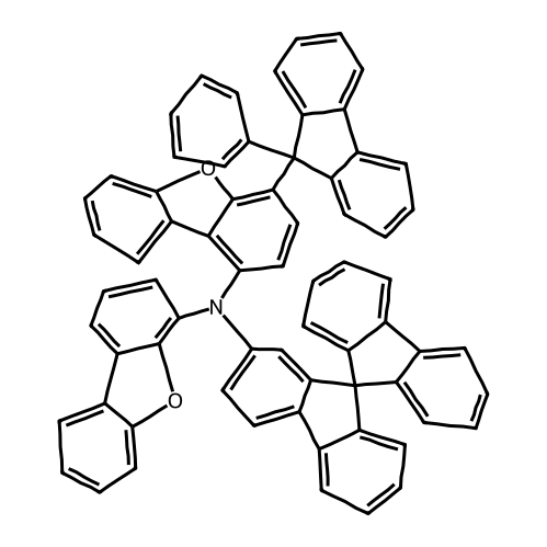 c1ccc(C2(c3ccc(N(c4ccc5c(c4)C4(c6ccccc6-c6ccccc64)c4ccccc4-5)c4cccc5c4oc4ccccc45)c4c3oc3ccccc34)c3ccccc3-c3ccccc32)cc1